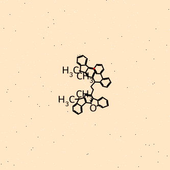 CC1(C)c2ccccc2-c2ccc(C(CCc3cc4c(c5oc6ccccc6c35)-c3ccccc3C4(C)C)c3ccccc3-c3ccccc3)cc21